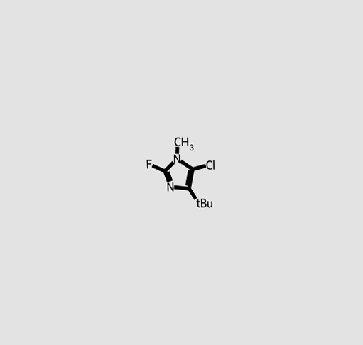 Cn1c(F)nc(C(C)(C)C)c1Cl